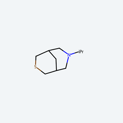 CC(C)N1CC2CSCC(C2)C1